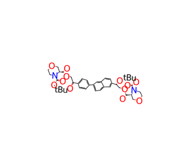 CC(C)(C)OC(=O)N1CCOC[C@H]1C(=O)OCC(=O)c1ccc(-c2ccc3cc(C(=O)COC(=O)[C@@H]4COCCN4C(=O)OC(C)(C)C)ccc3c2)cc1